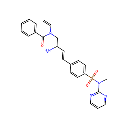 C=CN(CC(N)/C=C/c1ccc(S(=O)(=O)N(C)c2ncccn2)cc1)C(=O)c1ccccc1